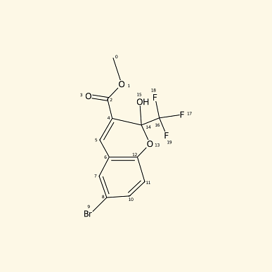 COC(=O)C1=Cc2cc(Br)ccc2OC1(O)C(F)(F)F